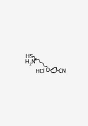 Cl.N#Cc1ccc(OCCCCC[C@H](N)CS)cc1